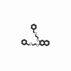 c1ccc(COCCOc2cc3ccccc3cc2OCCOCc2ccccc2)cc1